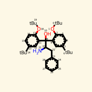 CC(C)(C)Oc1ccc(C(C)(C)C)cc1C(O)(c1cc(C(C)(C)C)ccc1OC(C)(C)C)C(N)Cc1ccccc1